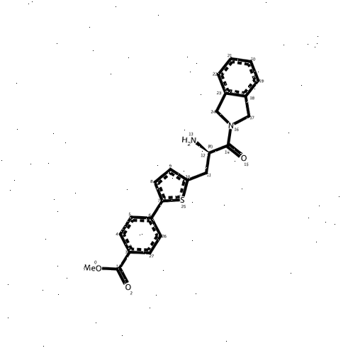 COC(=O)c1ccc(-c2ccc(C[C@@H](N)C(=O)N3Cc4ccccc4C3)s2)cc1